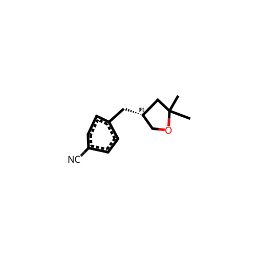 CC1(C)C[C@@H](Cc2ccc(C#N)cc2)CO1